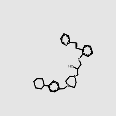 OC(COc1ccccc1/C=C/c1ccccn1)CN1CCN(Cc2ccc(C3CCCCC3)cc2)CC1